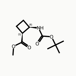 COC(=O)[C@H]1CC[C@H]1NC(=O)OC(C)(C)C